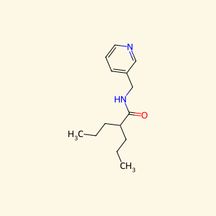 CCCC(CCC)C(=O)NCc1cccnc1